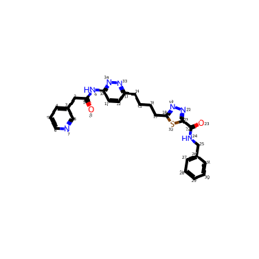 O=C(Cc1cccnc1)Nc1ccc(CCCCc2nnc(C(=O)NCc3ccccc3)s2)nn1